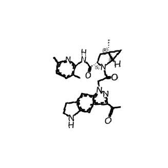 CC(=O)c1nn(CC(=O)N2[C@H](C(=O)Nc3nc(C)ccc3C)C[C@@]3(C)C[C@@H]23)c2cc3c(cc12)NCC3